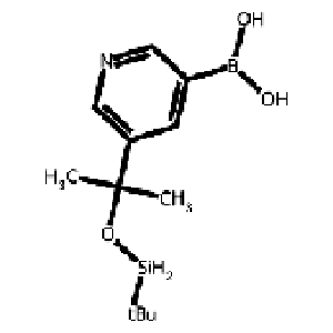 CC(C)(C)[SiH2]OC(C)(C)c1cncc(B(O)O)c1